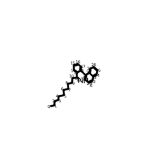 CCCCCCCCCCCC(N)c1ccccc1-c1cccc2ccccc12